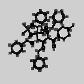 CN1CCN(C(=O)[C@H](OCc2ccccc2)[C@@H](OCc2ccccc2)[C@H](OCc2ccccc2)[C@@]2(COCc3ccccc3)COC(C)(C)O2)CC1